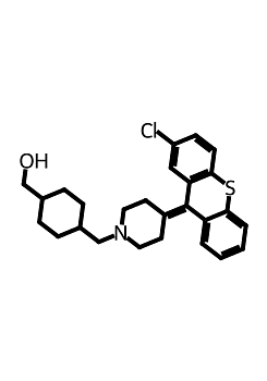 OCC1CCC(CN2CCC(=C3c4ccccc4Sc4ccc(Cl)cc43)CC2)CC1